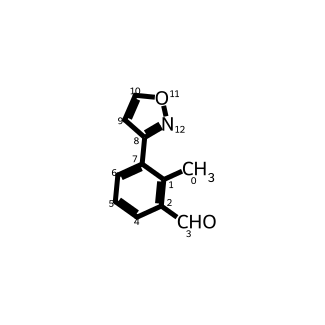 Cc1c(C=O)cccc1-c1ccon1